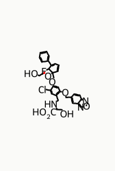 O=C(O)C(CO)NCc1cc(Cl)c(OCC2(OCCO)C=CC=C(c3ccccc3)C2F)cc1OCc1ccc2nonc2c1